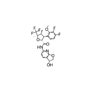 COc1c([C@H]2[C@H](C(=O)Nc3ccc4c(n3)OCC4O)O[C@@](C)(C(F)(F)F)[C@H]2C)ccc(F)c1F